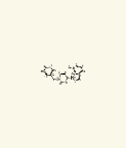 Cc1cccc2ccn(C3CCN(Cc4ccccc4)CC3)c12